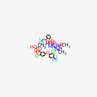 COc1nc(C)nc(NC(=O)NS(=O)(=O)c2ccccc2CCC(F)(F)F)n1.C[C@H](OC(=O)c1cc(Oc2ccc(C(F)(F)F)cc2Cl)ccc1Cl)C(=O)O